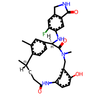 Cc1cc2ccc1[C@@H](C)CCC(=O)Nc1ccc(O)c(c1)CN(C)C(=O)[C@@H]2Nc1cc2c(cc1F)CNC2=O